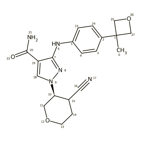 CC1(c2ccc(Nc3nn([C@@H]4COCCC4C#N)cc3C(N)=O)cc2)COC1